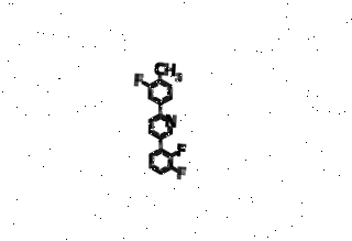 Cc1ccc(-c2ccc(-c3cccc(F)c3F)cn2)cc1F